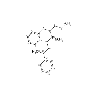 CCCC(Cc1ccccc1)N(C)CCC(C)c1ccccc1